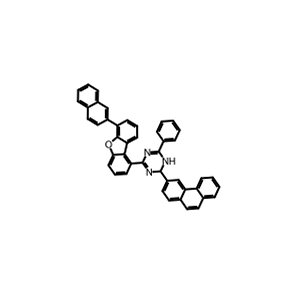 c1ccc(C2=NC(c3cccc4oc5c(-c6ccc7ccccc7c6)cccc5c34)=NC(c3ccc4ccc5ccccc5c4c3)N2)cc1